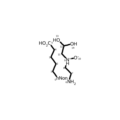 CCCCCCCCCCCCCC(=O)O.NCC[NH+]([O-])CC(O)O